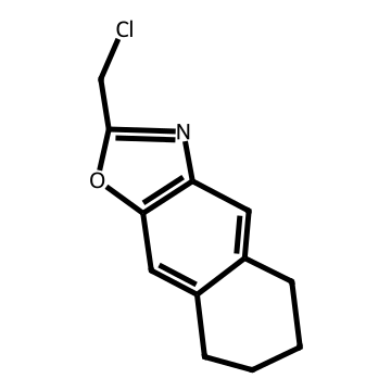 ClCc1nc2cc3c(cc2o1)CCCC3